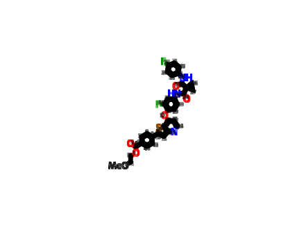 COCCOC(=O)c1ccc(-c2cc3nccc(Oc4ccc(NC(=O)C5(C(=O)Nc6ccc(F)cc6)CC5)cc4F)c3s2)cc1